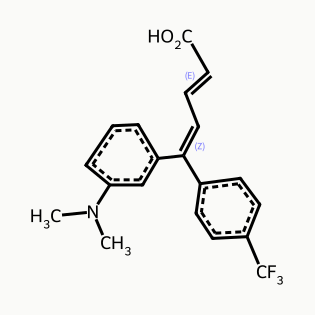 CN(C)c1cccc(/C(=C\C=C\C(=O)O)c2ccc(C(F)(F)F)cc2)c1